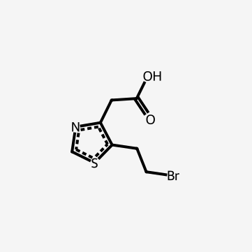 O=C(O)Cc1ncsc1CCBr